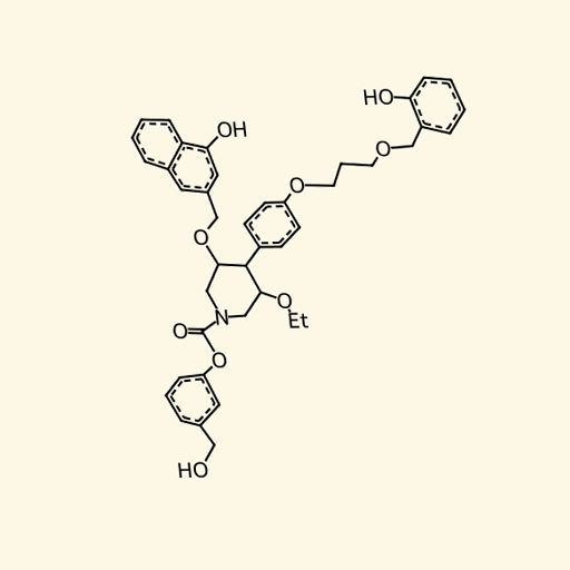 CCOC1CN(C(=O)Oc2cccc(CO)c2)CC(OCc2cc(O)c3ccccc3c2)C1c1ccc(OCCCOCc2ccccc2O)cc1